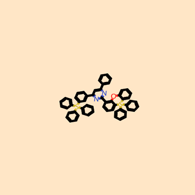 c1ccc(-c2cc(-c3cccc(S(c4ccccc4)(c4ccccc4)c4ccccc4)c3)nc(-c3cccc4c3Oc3ccccc3S4(c3ccccc3)c3ccccc3)n2)cc1